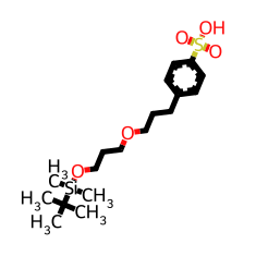 CC(C)(C)[Si](C)(C)OCCCOCCCc1ccc(S(=O)(=O)O)cc1